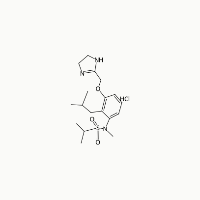 CC(C)Cc1c(OCC2=NCCN2)cccc1N(C)S(=O)(=O)C(C)C.Cl